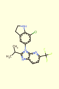 CC(C)c1nc2ccc(C(F)(F)F)nc2n1-c1cc(Cl)c2c(c1)CCN2